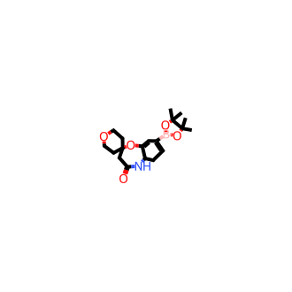 CC1(C)OB(C2=CCC3NC(=O)CC4(CCOCC4)OC3=C2)OC1(C)C